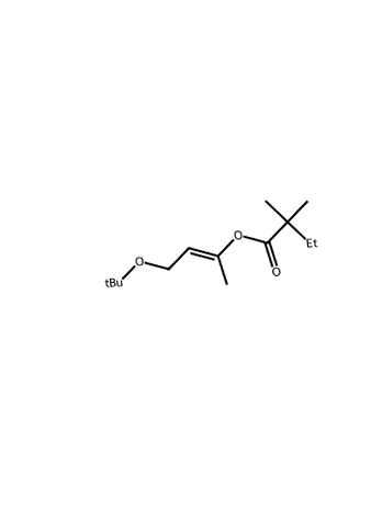 CCC(C)(C)C(=O)O/C(C)=C/COC(C)(C)C